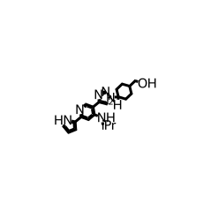 [2H]C1(n2cc(-c3cnc(-c4ccc[nH]4)cc3NC(C)C)nn2)CCC(CO)CC1